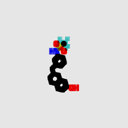 O=S(=O)(Nc1cccc(CC2CCc3ccc(O)cc3C2)c1)C(F)(F)F